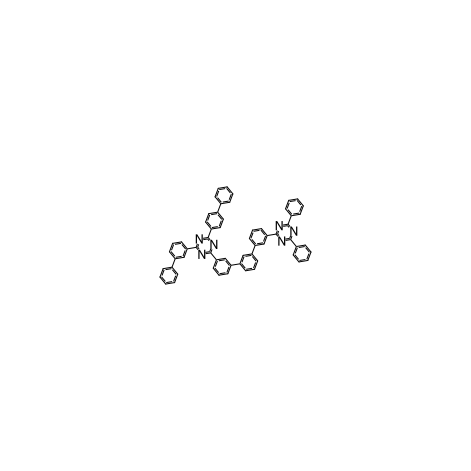 c1ccc(-c2ccc(-c3nc(-c4cccc(-c5ccccc5)c4)nc(-c4cccc(-c5cccc(-c6cccc(-c7nc(-c8ccccc8)nc(-c8ccccc8)n7)c6)c5)c4)n3)cc2)cc1